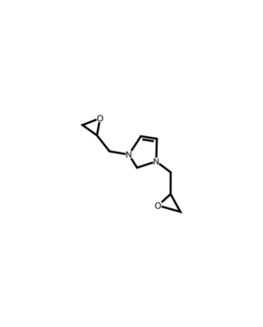 C1=CN(CC2CO2)CN1CC1CO1